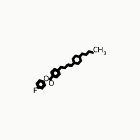 CCCCCC1CCC(C=CCCc2ccc(C(=O)Oc3ccc(F)cc3)cc2)CC1